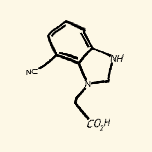 N#Cc1cccc2c1N(CC(=O)O)CN2